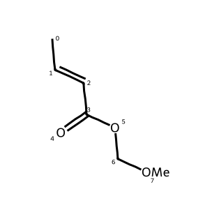 CC=CC(=O)OCOC